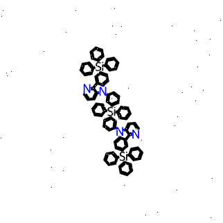 c1ccc([Si](c2ccccc2)(c2cccc(-n3c4ccc([Si](c5ccccc5)(c5ccccc5)c5ccccc5)cc4c4ncccc43)c2)c2cccc(-n3c4ccc([Si](c5ccccc5)(c5ccccc5)c5ccccc5)cc4c4ncccc43)c2)cc1